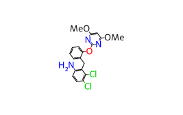 COc1cc(OC)nc(Oc2ccccc2Cc2c(N)ccc(Cl)c2Cl)n1